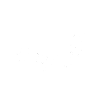 CCCCCC(C)(OCC1=CC(=O)N2N=C(C3=CC=CCC3)NC2N1)C(=O)NC1(C2CC=CC(Cl)=C2F)CC1